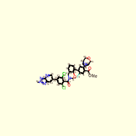 COC(=O)c1cc(F)c(-c2cccc3c2OCN(C(=O)c2c(Cl)cc(-c4cnc5nn(C)nc5c4)cc2Cl)C3)cc1N1C2CCC1COC2